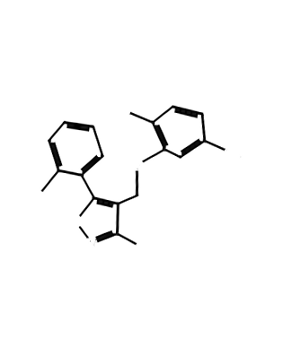 Cc1ccc(C(F)(F)F)[c]c1OCc1c(Cl)nsc1-c1ccccc1C